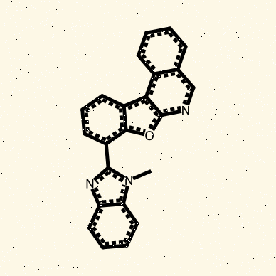 Cn1c(-c2cccc3c2oc2ncc4ccccc4c23)nc2ccccc21